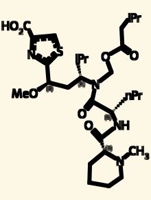 CCC[C@H](NC(=O)[C@H]1CCCCN1C)C(=O)N(COC(=O)CC(C)C)[C@H](C[C@@H](OC)c1nc(C(=O)O)cs1)C(C)C